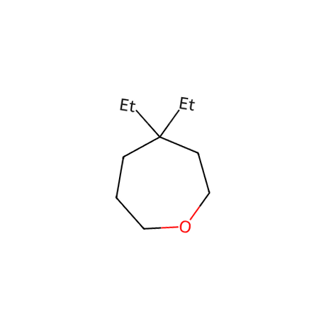 CCC1(CC)CCCOCC1